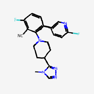 Cn1cnnc1C1CCN(c2c(-c3ccc(F)nc3)ccc(F)c2C#N)CC1